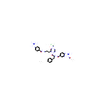 COC(=O)NC(=N)Nc1ccc(C(=O)NC(Cc2ccc(OC)cc2)C(=O)N2CCN(CC(=O)O)C(=O)C2CCCNC(=O)c2ccc(NC(=N)N)cc2)cc1.Cl